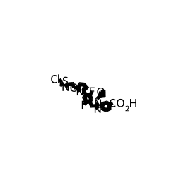 O=C(O)c1ccc2nc(Cc3cc(F)c(-c4cccc(OCc5ncc(Cl)s5)n4)cc3F)n(CC3CCO3)c2c1